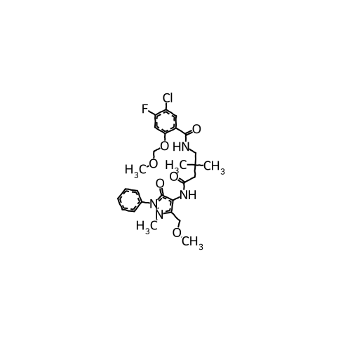 COCOc1cc(F)c(Cl)cc1C(=O)NCC(C)(C)CC(=O)Nc1c(COC)n(C)n(-c2ccccc2)c1=O